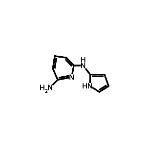 Nc1cccc(Nc2ccc[nH]2)n1